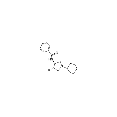 O=C(N[C@H]1CN(C2CCCCC2)C[C@@H]1O)c1ccccc1